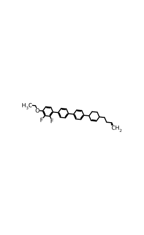 C=CCCC1C=CC(c2ccc(-c3ccc(-c4ccc(OCC)c(F)c4F)cc3)cc2)CC1